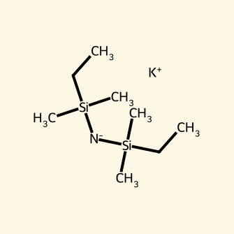 CC[Si](C)(C)[N-][Si](C)(C)CC.[K+]